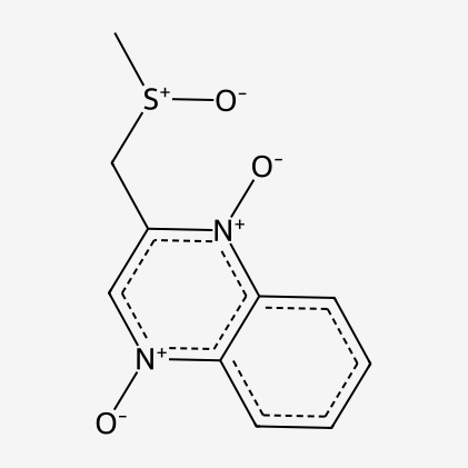 C[S+]([O-])Cc1c[n+]([O-])c2ccccc2[n+]1[O-]